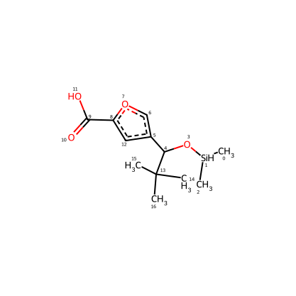 C[SiH](C)OC(c1coc(C(=O)O)c1)C(C)(C)C